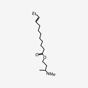 CC/C=C/CCCCCCCC(=O)OCCC(C)NC